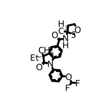 CC[C@@]1(C)C(=O)N(c2cccc(OC(F)F)c2)c2ccc(C(=O)NC3(C)CCOS3)cc21